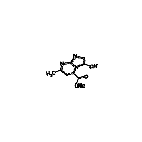 COC(=O)c1cc(C)nc2ncc(O)n12